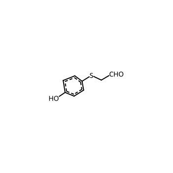 O=CCSc1ccc(O)cc1